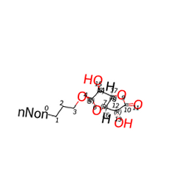 CCCCCCCCCCCCO[C@@H]1O[C@H]2[C@H](OC(=O)[C@@H]2O)[C@@H]1O